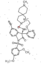 CCOc1ncccc1[C@]1(NC(=O)N2CCC3(CCN(C)CC3)CC2)C(=O)N(S(=O)(=O)c2ccc(OC)cc2OC)c2ccc(C#N)cc21